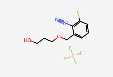 F[B-](F)(F)F.N#[N+]c1c(F)cccc1COCCCO